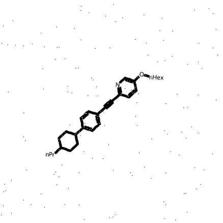 CCCCCCOc1ccc(C#Cc2ccc(C3CCC(CCC)CC3)cc2)nc1